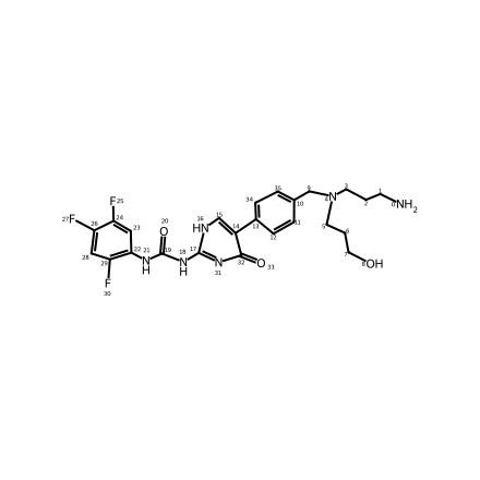 NCCCN(CCCO)Cc1ccc(-c2c[nH]c(NC(=O)Nc3cc(F)c(F)cc3F)nc2=O)cc1